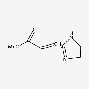 C1=NCCN1.C=CC(=O)OC